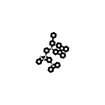 c1ccc(-c2ccc(N(c3cccc(-n4c5ccc(-n6c7ccccc7c7ccccc76)cc5n5c6ccccc6nc45)c3)c3ccc4c(c3)C3(c5ccccc5-c5ccccc53)c3ccccc3-4)cc2)cc1